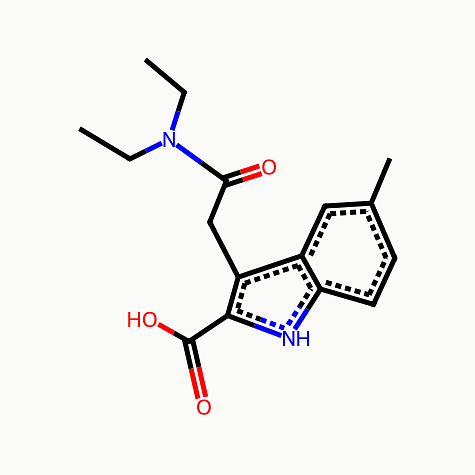 CCN(CC)C(=O)Cc1c(C(=O)O)[nH]c2ccc(C)cc12